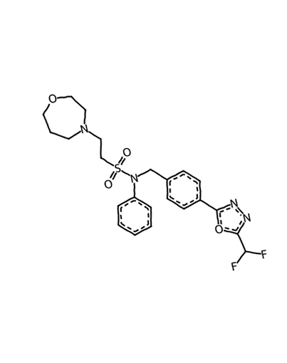 O=S(=O)(CCN1CCCOCC1)N(Cc1ccc(-c2nnc(C(F)F)o2)cc1)c1ccccc1